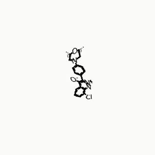 C[C@@H]1CN(c2ccc(-c3c([O-])c4cccc(Cl)c4n[n+]3C)cc2)C[C@H](C)O1